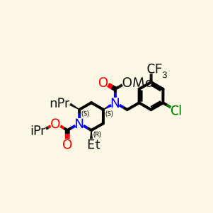 CCC[C@H]1C[C@@H](N(Cc2cc(Cl)cc(C(F)(F)F)c2)C(=O)OC)C[C@@H](CC)N1C(=O)OC(C)C